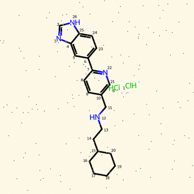 Cl.Cl.c1nc2cc(-c3ccc(CNCCC4CCCCC4)cn3)ccc2[nH]1